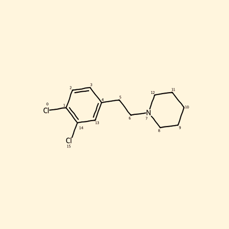 Clc1ccc(CCN2CCCCC2)cc1Cl